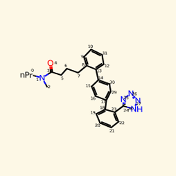 CCCN(C)C(=O)CCCc1ccccc1-c1ccc(-c2ccccc2-c2nnn[nH]2)cc1